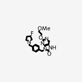 COCCOc1ncc2[nH]c(=O)n(Cc3ccc(CN4CC[C@@H](F)C4)cc3)c2n1